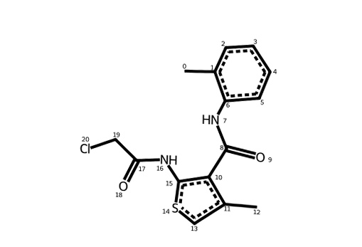 Cc1ccccc1NC(=O)c1c(C)csc1NC(=O)CCl